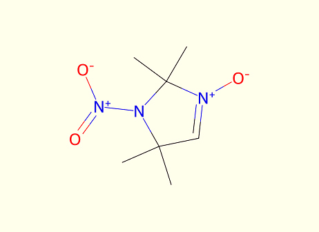 CC1(C)C=[N+]([O-])C(C)(C)N1[N+](=O)[O-]